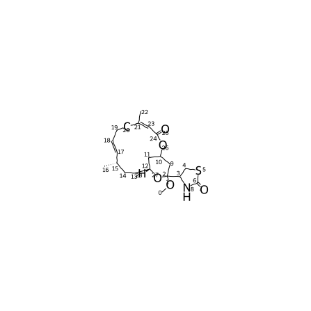 COC1(C2CSC(=O)N2)CC2C[C@@H](CC[C@H](C)/C=C/CC/C(C)=C\C(=O)O2)O1